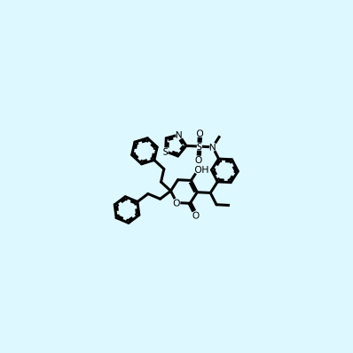 CCC(C1=C(O)CC(CCc2ccccc2)(CCc2ccccc2)OC1=O)c1cccc(N(C)S(=O)(=O)c2cscn2)c1